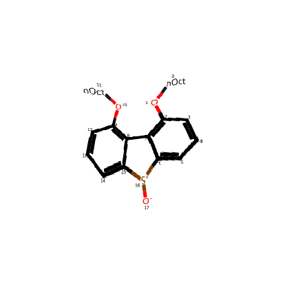 CCCCCCCCOc1cccc2c1c1c(OCCCCCCCC)cccc1[s+]2[O-]